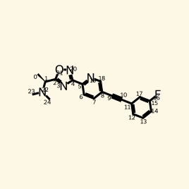 C[C@@H](c1nc(-c2ccc(C#Cc3cccc(F)c3)cn2)no1)N(C)C